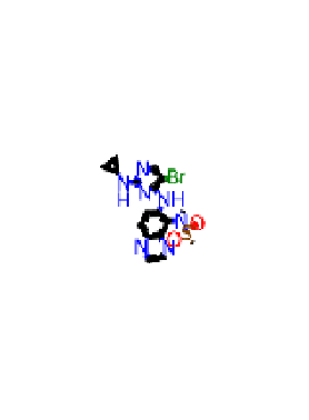 CN(c1c(Nc2nc(NC3CC3)ncc2Br)ccc2nccnc12)S(C)(=O)=O